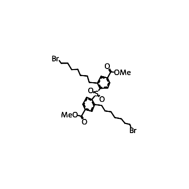 COC(=O)c1ccc(S(=O)(=O)c2ccc(C(=O)OC)cc2CCCCCCCBr)c(CCCCCCCBr)c1